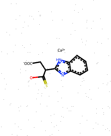 O=C([O-])CC(C([O-])=S)c1nc2ccccc2[nH]1.[Ca+2]